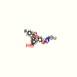 CCCCN1CC[C@@H](Oc2ccc(Oc3c(C(=O)c4ccc(F)cc4)sc4cc(O)ccc34)cc2)C1